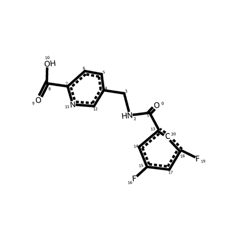 O=C(NCc1ccc(C(=O)O)nc1)c1cc(F)cc(F)c1